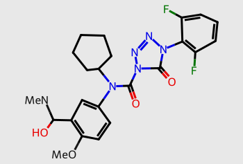 CNC(O)c1cc(N(C(=O)n2nnn(-c3c(F)cccc3F)c2=O)C2CCCCC2)ccc1OC